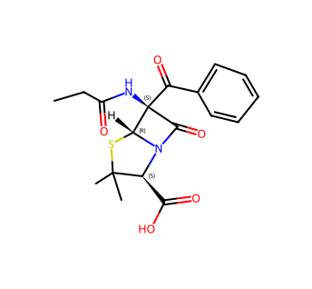 CCC(=O)N[C@@]1(C(=O)c2ccccc2)C(=O)N2[C@@H](C(=O)O)C(C)(C)S[C@@H]21